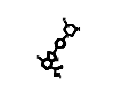 NC(=O)c1ccc(F)c2cn(-c3ccc([C@@H]4CNC[C@H](F)C4)cc3)nc12